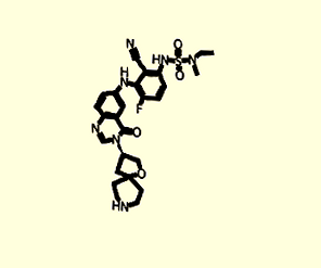 CCN(C)S(=O)(=O)Nc1ccc(F)c(Nc2ccc3ncn([C@H]4COC5(CCNCC5)C4)c(=O)c3c2)c1C#N